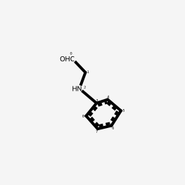 O=CCNc1[c]cccc1